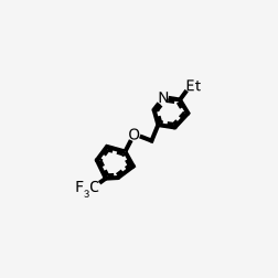 CCc1ccc(COc2ccc(C(F)(F)F)cc2)cn1